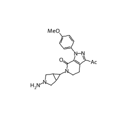 COc1ccc(-n2nc(C(C)=O)c3c2C(=O)N(C2C4CN(N)CC42)CC3)cc1